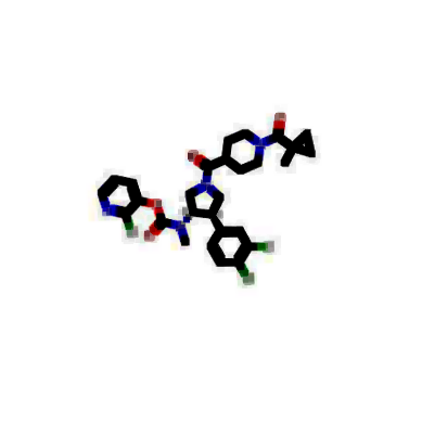 CN(C(=O)Oc1cccnc1Cl)[C@@H]1CN(C(=O)C2CCN(C(=O)C3(C)CC3)CC2)C[C@H]1c1ccc(Cl)c(Cl)c1